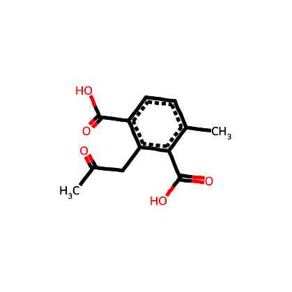 CC(=O)Cc1c(C(=O)O)ccc(C)c1C(=O)O